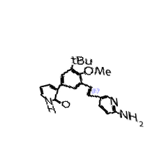 COc1c(/C=C/c2ccc(N)nc2)cc(-c2ccc[nH]c2=O)cc1C(C)(C)C